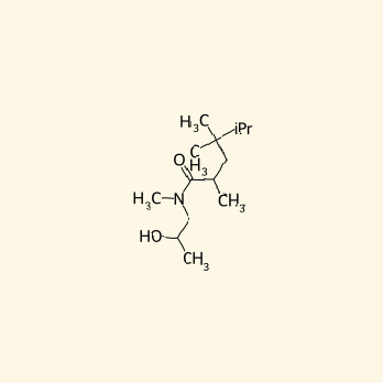 CC(O)CN(C)C(=O)C(C)CC(C)(C)C(C)C